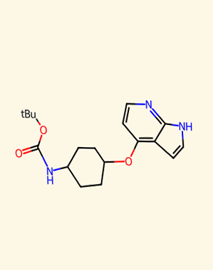 CC(C)(C)OC(=O)NC1CCC(Oc2ccnc3[nH]ccc23)CC1